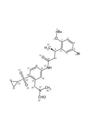 CCCCOc1ccc(Br)cc1[C@H](C)CC(=O)Nc1ccc(S(=O)(=O)C2CC2)c(CN(C)C=O)c1